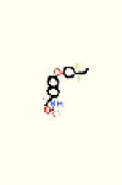 CCC(F)(F)C1CCC(Oc2ccc3cc([C@]4(C)COC(=O)N4)ccc3c2)CC1